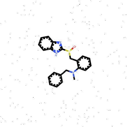 CN(Cc1ccccc1)c1ccccc1C[S+]([O-])c1nc2ccccc2[nH]1